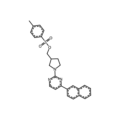 Cc1ccc(S(=O)(=O)OCC2CCN(c3nccc(-c4ccc5ccccc5c4)n3)C2)cc1